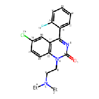 CCN(CC)CCn1c(=O)nc(-c2ccccc2F)c2cc(Cl)ccc21